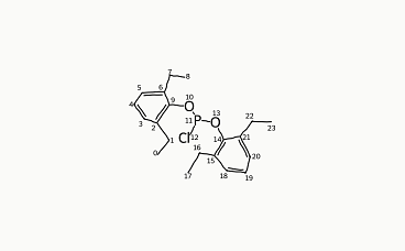 CCc1cccc(CC)c1OP(Cl)Oc1c(CC)cccc1CC